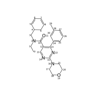 CCN(CC1C=CC=CC1)C(=O)c1cnc(N2CCOCC2)nc1-c1cccc(C)c1